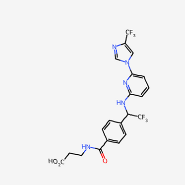 O=C(O)CCNC(=O)c1ccc(C(Nc2cccc(-n3cnc(C(F)(F)F)c3)n2)C(F)(F)F)cc1